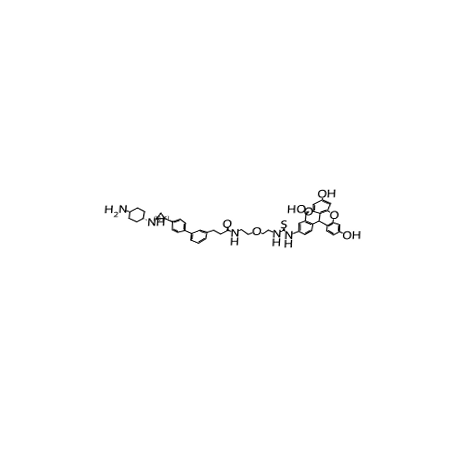 N[C@H]1CC[C@H](N[C@@H]2C[C@H]2c2ccc(-c3cccc(CCC(=O)NCCOCCNC(=S)Nc4ccc(C5c6ccc(O)cc6Oc6cc(O)ccc65)c(C(=O)O)c4)c3)cc2)CC1